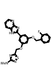 CNc1nsc(COc2cc(OCc3ccccc3F)cc(-c3nc4ncccc4[nH]3)c2)n1